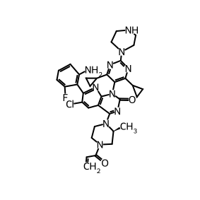 C=CC(=O)N1CCN(c2nc(=O)n(-c3c(C4CC4)nc(N4CCNCC4)nc3C3CC3)c3nc(-c4c(N)cccc4F)c(Cl)cc23)[C@@H](C)C1